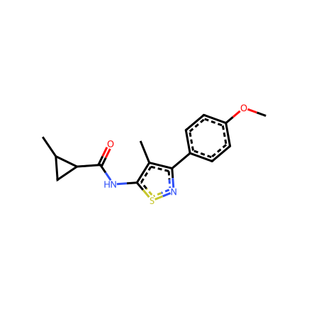 COc1ccc(-c2nsc(NC(=O)C3CC3C)c2C)cc1